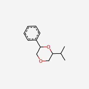 CC(C)C1COCC(c2ccccc2)O1